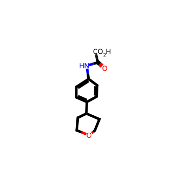 O=C(O)C(=O)Nc1ccc(C2CCOCC2)cc1